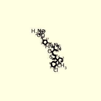 CN1CCCC1(c1cccc(Cl)c1)c1csc(C(=O)c2cncnc2NC[C@H]2CC[C@@H](COS(N)(=O)=O)C2)c1